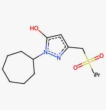 CC(C)S(=O)(=O)Cc1cc(O)n(C2CCCCCC2)n1